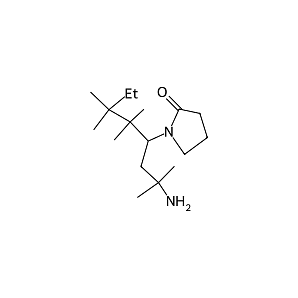 CCC(C)(C)C(C)(C)C(CC(C)(C)N)N1CCCC1=O